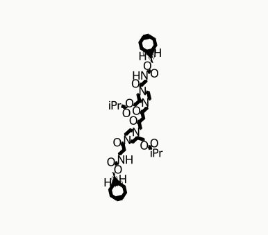 CC(C)C(=O)OCC1CN(C(=O)CCNC(=O)OC[C@@H]2[C@@H]3CCC#CCC[C@@H]32)CCN1CC(=O)CC(=O)CN1CCN(C(=O)CNC(=O)OC[C@@H]2[C@@H]3CCC#CCC[C@@H]32)CC1COC(=O)C(C)C